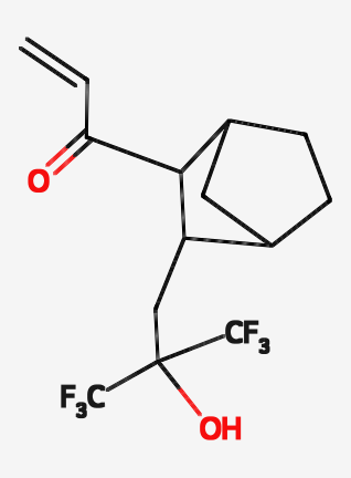 C=CC(=O)C1C2CCC(C2)C1CC(O)(C(F)(F)F)C(F)(F)F